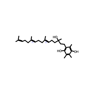 CC(C)=CCC/C(C)=C/CC/C(C)=C/CCC(C)(O)CCc1c(C)c(O)c(C)c(C)c1O